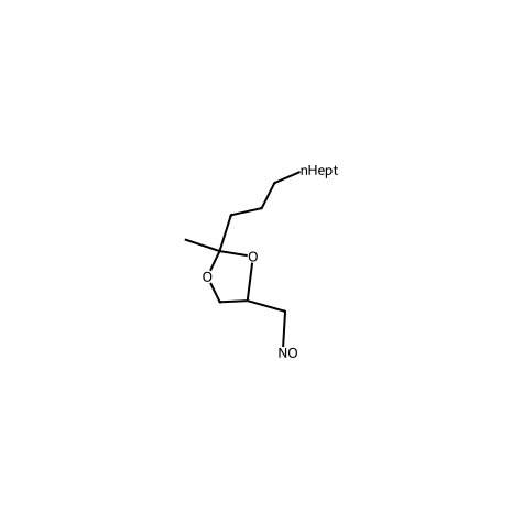 CCCCCCCCCCC1(C)OCC(CN=O)O1